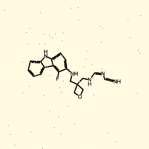 N=C/N=C\NCC1(CNc2ccc3[nH]c4ccccc4c3c2F)COC1